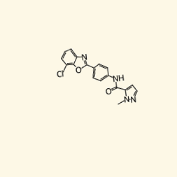 Cn1nccc1C(=O)Nc1ccc(-c2nc3cccc(Cl)c3o2)cc1